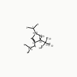 CC(C)n1cc(CN(C)C)c(C(F)(F)F)n1